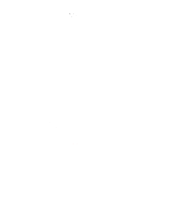 COCCCCCCC(C(=O)O)S(=O)(=O)CCc1ccccc1